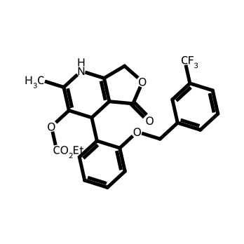 CCOC(=O)OC1=C(C)NC2=C(C(=O)OC2)C1c1ccccc1OCc1cccc(C(F)(F)F)c1